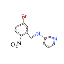 O=[N+]([O-])c1ccc(Br)cc1/C=N/c1cccnc1